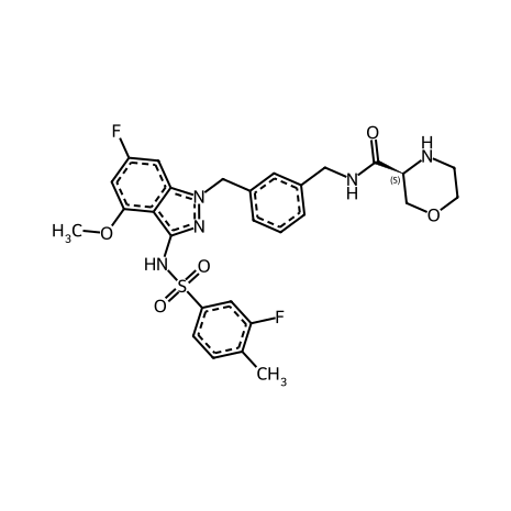 COc1cc(F)cc2c1c(NS(=O)(=O)c1ccc(C)c(F)c1)nn2Cc1cccc(CNC(=O)[C@@H]2COCCN2)c1